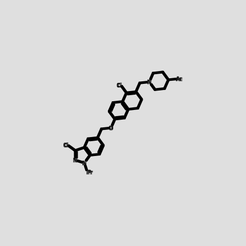 CC(=O)C1CCN(CC2=C(Cl)c3ccc(OCc4ccc5c(c4)c(Cl)nn5C(C)C)cc3CC2)CC1